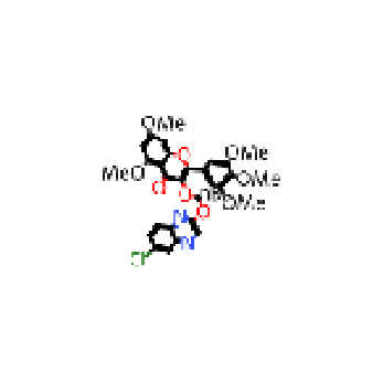 CCCCC(Oc1cnc2cc(Cl)ccc2n1)Oc1c(-c2cc(OC)c(OC)c(OC)c2)oc2cc(OC)cc(OC)c2c1=O